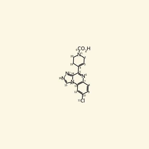 O=C(O)N1CC=C(c2nc3ccc(Cl)cc3n3cnnc23)CC1